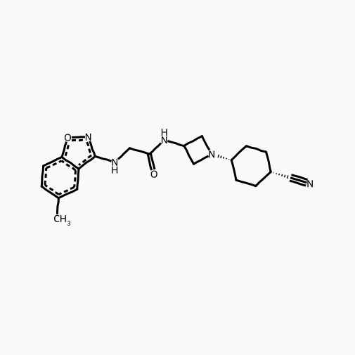 Cc1ccc2onc(NCC(=O)NC3CN([C@H]4CC[C@@H](C#N)CC4)C3)c2c1